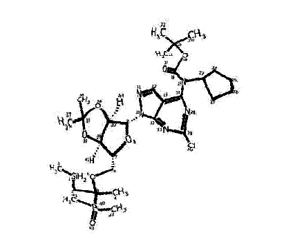 C[SiH2]CC(C)(OC[C@H]1O[C@@H](n2ncc3c(N(C(=O)OC(C)(C)C)C4CCCC4)nc(Cl)nc32)[C@@H]2OC(C)(C)O[C@@H]21)P(C)(C)=O